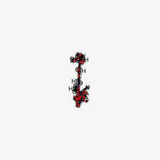 COc1ccc(C(OC[C@H]2O[C@@H](n3cc(/C=C/C(=O)NCCCCCCNC(=O)CCCCOC4OC(COC(C)=O)C(OC(C)=O)C(OC(C)=O)C4NC(C)=O)c(=O)[nH]c3=O)C[C@H]2OP(OCCC#N)N(C(C)C)C(C)C)(c2ccccc2)c2ccc(OC)cc2)cc1